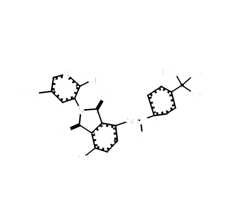 Cc1cnc(C)c(N2C(=O)c3c(Cl)ccc(N[S+]([O-])c4ccc(C(C)(C)C)cc4)c3C2=O)c1